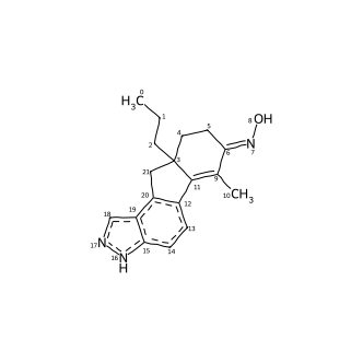 CCCC12CCC(=NO)C(C)=C1c1ccc3[nH]ncc3c1C2